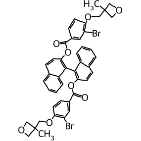 CC1(COc2ccc(C(=O)Oc3ccc4ccccc4c3-c3c(OC(=O)c4ccc(OCC5(C)COC5)c(Br)c4)ccc4ccccc34)cc2Br)COC1